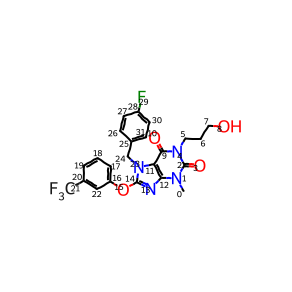 Cn1c(=O)n(CCCO)c(=O)c2c1nc(Oc1cccc(C(F)(F)F)c1)n2Cc1ccc(F)cc1